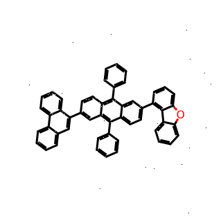 c1ccc(-c2c3ccc(-c4cccc5oc6ccccc6c45)cc3c(-c3ccccc3)c3ccc(-c4cc5ccccc5c5ccccc45)cc23)cc1